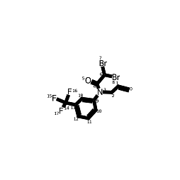 C=CCN(C(=O)C(Br)Br)c1cccc(C(F)(F)F)c1